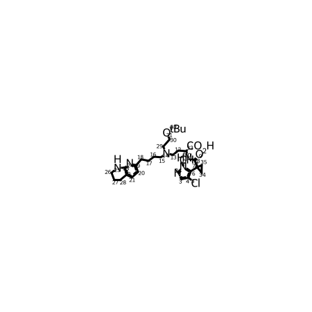 Cn1ncc(Cl)c1C1(C(=O)NC(CCN(CCCCc2ccc3c(n2)NCCC3)CCOC(C)(C)C)C(=O)O)CC1